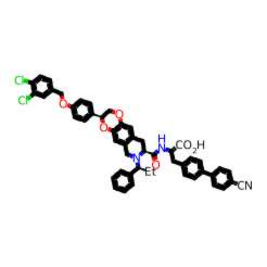 CC[C@@H](c1ccccc1)N1Cc2cc3c(cc2C[C@H]1C(=O)NC(Cc1ccc(-c2ccc(C#N)cc2)cc1)C(=O)O)OC[C@H](c1ccc(OCc2ccc(Cl)c(Cl)c2)cc1)O3